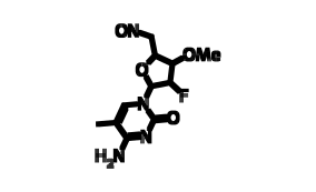 COC1C(CN=O)OC(n2cc(C)c(N)nc2=O)C1F